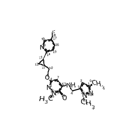 Cc1cc(CNc2cc(OCC3C[C@H]3c3ccc(F)cn3)nn(C)c2=O)n(C)n1